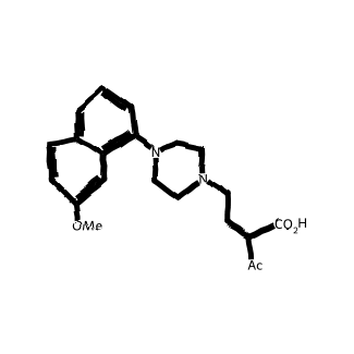 COc1ccc2cccc(N3CCN(CCC(C(C)=O)C(=O)O)CC3)c2c1